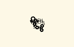 CC(C)(C)c1cc2c(n1-c1ccc3sc4ccc(-n5c6ccccc6c6ccccc65)cc4c3c1)-n1nccc1CCCC2